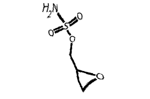 NS(=O)(=O)OCC1CO1